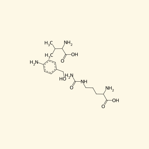 CC(C)C(N)C(=O)O.NC(=O)NCCCC(N)C(=O)O.Nc1ccc(CO)cc1